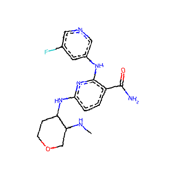 CNC1COCCC1Nc1ccc(C(N)=O)c(Nc2cncc(F)c2)n1